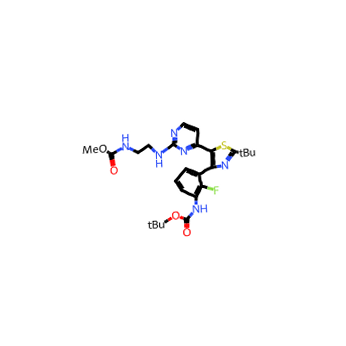 COC(=O)NCCNc1nccc(-c2sc(C(C)(C)C)nc2-c2cccc(NC(=O)OC(C)(C)C)c2F)n1